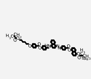 C=C(C)C(=O)OCCCCCCOc1ccc(C(=O)Oc2ccc(CNc3ccc(/N=N/c4ccc(C(=O)Oc5cccc6c(OC(=O)C(C)(C)C(C)(C)C)cccc56)cc4)c4ccccc34)cc2)cc1